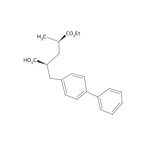 CCOC(=O)[C@H](C)C[C@@H](Cc1ccc(-c2ccccc2)cc1)C(=O)O